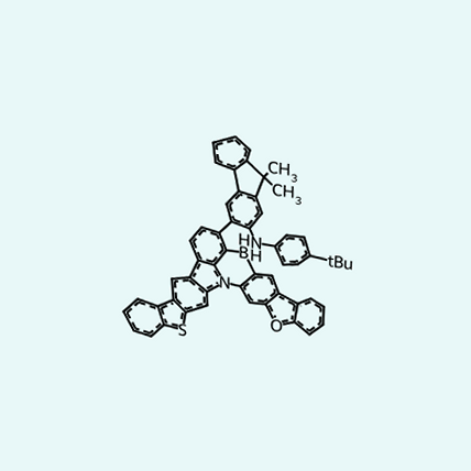 CC(C)(C)c1ccc(Nc2cc3c(cc2-c2ccc4c5cc6c(cc5n5c4c2Bc2cc4c(cc2-5)oc2ccccc24)sc2ccccc26)-c2ccccc2C3(C)C)cc1